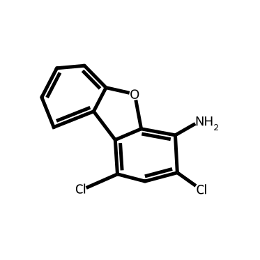 Nc1c(Cl)cc(Cl)c2c1oc1ccccc12